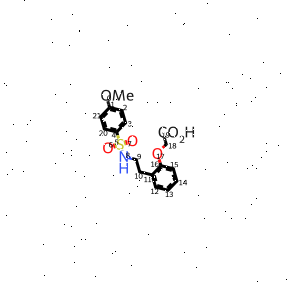 COc1ccc(S(=O)(=O)NCCc2ccccc2OCC(=O)O)cc1